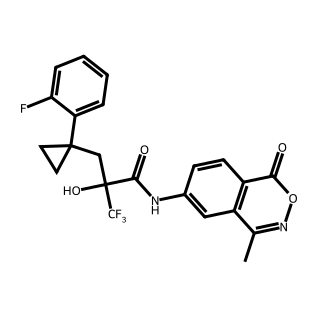 Cc1noc(=O)c2ccc(NC(=O)C(O)(CC3(c4ccccc4F)CC3)C(F)(F)F)cc12